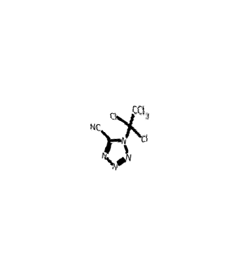 N#Cc1nnnn1C(Cl)(Cl)C(Cl)(Cl)Cl